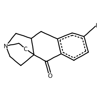 O=C1c2ccc(I)cc2CC2CN3CCC12CC3